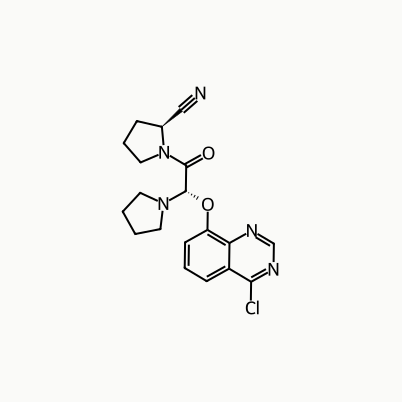 N#C[C@@H]1CCCN1C(=O)[C@H](Oc1cccc2c(Cl)ncnc12)N1CCCC1